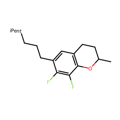 CCCC(C)CCCc1cc2c(c(F)c1F)OC(C)CC2